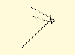 CCCCCCCCCCCCCCCCCCC(CCCCCCCC)c1nccn1C(C)CCCCCCCCCCC